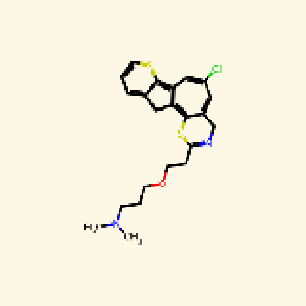 CN(C)CCCOCCC1=NCC2=CC(Cl)=CC3=C4SC=CC=C4CC3=C2S1